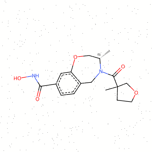 C[C@H]1COc2cc(C(=O)NO)ccc2CN1C(=O)C1(C)CCOC1